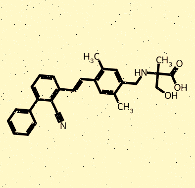 Cc1cc(CNC(C)(CO)C(=O)O)c(C)cc1C=Cc1cccc(-c2ccccc2)c1C#N